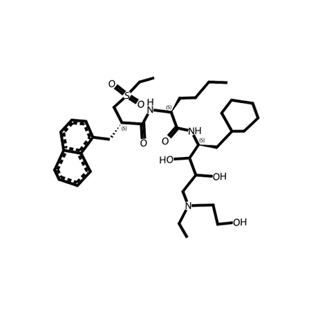 CCCC[C@H](NC(=O)[C@H](Cc1cccc2ccccc12)CS(=O)(=O)CC)C(=O)N[C@@H](CC1CCCCC1)C(O)C(O)CN(CC)CCO